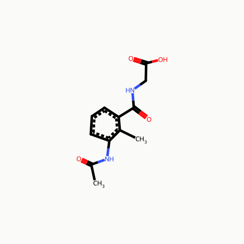 CC(=O)Nc1cccc(C(=O)NCC(=O)O)c1C